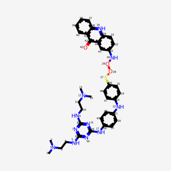 CN(C)CCNc1nc(NCCN(C)C)nc(Nc2ccc(Nc3ccc(SOONc4ccc5[nH]c6ccccc6c(=O)c5c4)cc3)cc2)n1